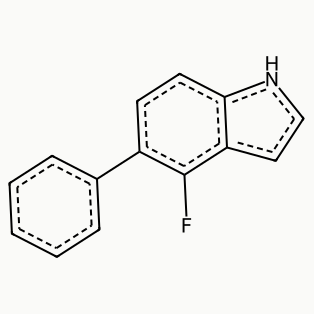 Fc1c(-c2ccccc2)ccc2[nH]ccc12